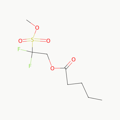 CCCCC(=O)OCC(F)(F)S(=O)(=O)OC